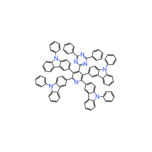 c1ccc(-c2nc(-c3ccccc3)nc(-c3c(-c4ccc5c(c4)c4ccccc4n5-c4ccccc4)c(-c4ccc5c(c4)c4ccccc4n5-c4ccccc4)nc(-c4ccc5c(c4)c4ccccc4n5-c4ccccc4)c3-c3ccc4c(c3)c3ccccc3n4-c3ccccc3)n2)cc1